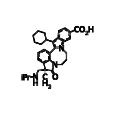 CC(C)NC[C@]1(C)C(=O)N2CCCn3c(c(C4CCCCC4)c4ccc(C(=O)O)cc43)-c3cccc1c32